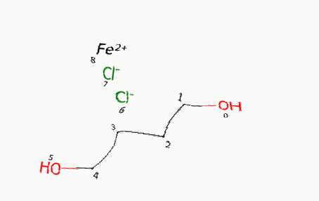 OCCCCO.[Cl-].[Cl-].[Fe+2]